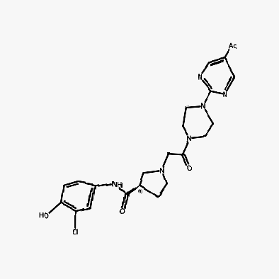 CC(=O)c1cnc(N2CCN(C(=O)CN3CC[C@@H](C(=O)Nc4ccc(O)c(Cl)c4)C3)CC2)nc1